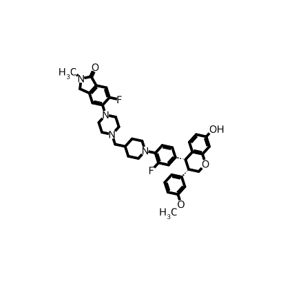 COc1cccc([C@H]2COc3cc(O)ccc3[C@H]2c2ccc(N3CCC(CN4CCN(c5cc6c(cc5F)C(=O)N(C)C6)CC4)CC3)c(F)c2)c1